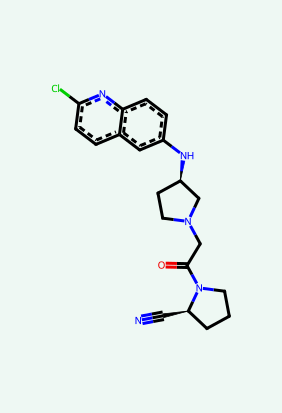 N#C[C@@H]1CCCN1C(=O)CN1CC[C@@H](Nc2ccc3nc(Cl)ccc3c2)C1